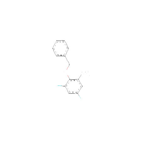 O=C(O)c1cc(F)cc(F)c1OCc1ccccc1